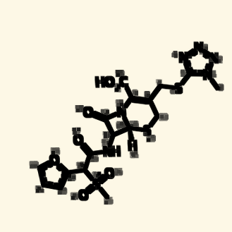 Cn1nnnc1SCC1=C(C(=O)O)N2C(=O)C(NC(=O)C(c3ccco3)S(C)(=O)=O)[C@H]2SC1